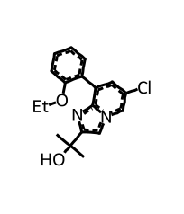 CCOc1ccccc1-c1cc(Cl)cn2cc(C(C)(C)O)nc12